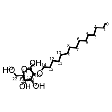 CCCCCCCCCCCCCCCO[C@@H]1[C@@H](O)[C@H](O)[C@@H](CO)O[C@H]1O